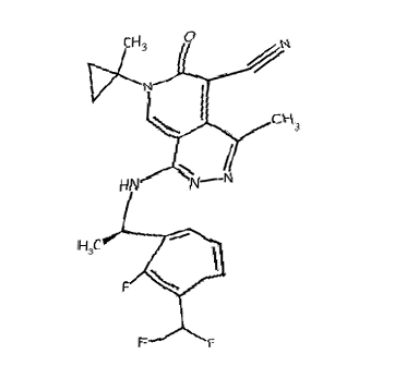 Cc1nnc(N[C@H](C)c2cccc(C(F)F)c2F)c2cn(C3(C)CC3)c(=O)c(C#N)c12